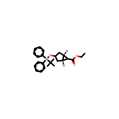 CCOC(=O)C1[C@H]2CC(O[Si](c3ccccc3)(c3ccccc3)C(C)(C)C)C[C@@H]12